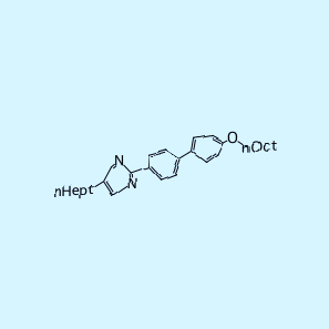 CCCCCCCCOc1ccc(-c2ccc(-c3ncc(CCCCCCC)cn3)cc2)cc1